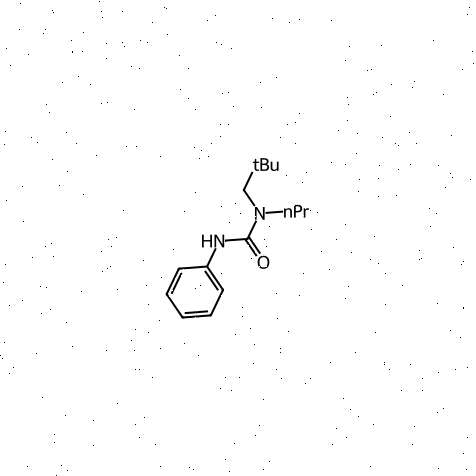 CCCN(CC(C)(C)C)C(=O)Nc1ccccc1